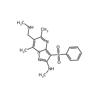 CNCc1c(C)nc2c(S(=O)(=O)c3ccccc3)c(NC)nn2c1C